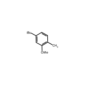 CCC(C)c1ccc(C)c(OC)c1